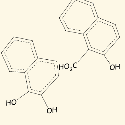 O=C(O)c1c(O)ccc2ccccc12.Oc1ccc2ccccc2c1O